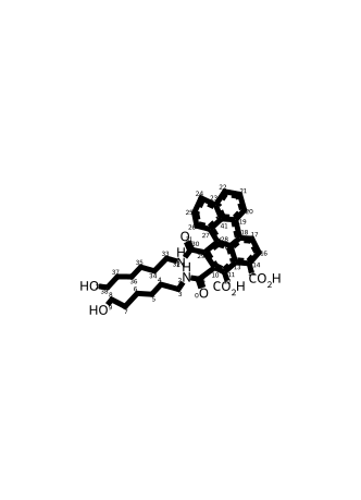 O=C(NCCCCCCO)c1c(C(=O)O)c2c(C(=O)O)ccc3c4cccc5cccc(c(c1C(=O)NCCCCCCO)c23)c54